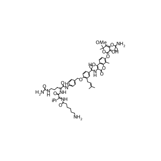 CO[C@@H]1[C@@H](OC(N)=O)[C@@H](O)[C@H](Oc2ccc3c(O)c(NC(=O)c4ccc(OCc5ccc(NC(=O)[C@H](CCCNC(N)=O)NC(=O)[C@@H](NC(=O)CCCCCN)C(C)C)cc5)c(CC=C(C)C)c4)c(=O)oc3c2C)OC1(C)C